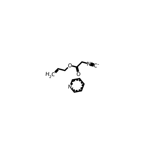 [C-]#[N+]CC(=O)OCC=C.c1ccncc1